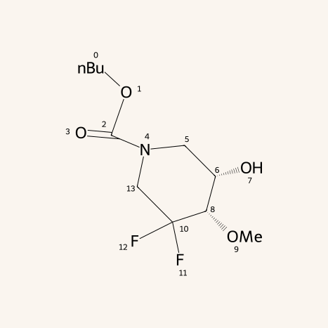 CCCCOC(=O)N1C[C@H](O)[C@H](OC)C(F)(F)C1